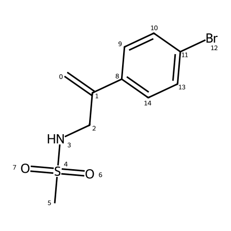 C=C(CNS(C)(=O)=O)c1ccc(Br)cc1